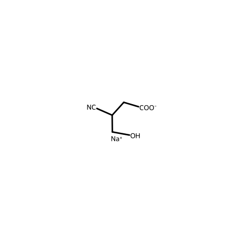 N#CC(CO)CC(=O)[O-].[Na+]